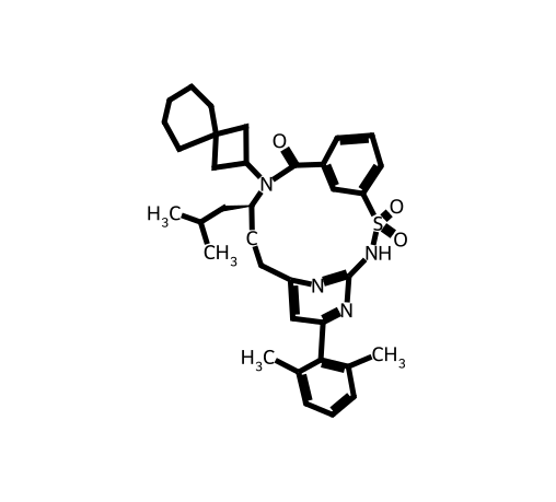 Cc1cccc(C)c1-c1cc2nc(n1)NS(=O)(=O)c1cccc(c1)C(=O)N(C1CC3(CCCCC3)C1)[C@H](CC(C)C)CC2